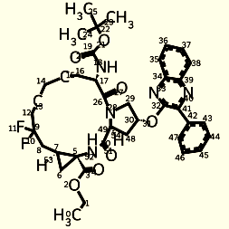 CCOC(=O)[C@@]12C[C@H]1CC(F)(F)CCCCC[C@H](NC(=O)OC(C)(C)C)C(=O)N1C[C@H](Oc3nc4ccccc4nc3-c3ccccc3)C[C@H]1C(=O)N2